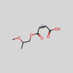 COC(C)COC(=O)/C=C\C(=O)O